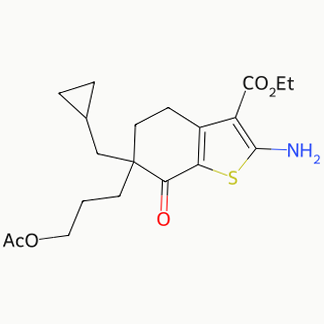 CCOC(=O)c1c(N)sc2c1CCC(CCCOC(C)=O)(CC1CC1)C2=O